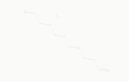 C=CCCCCCCC(N)CCN